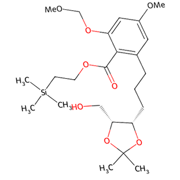 COCOc1cc(OC)cc(CCC[C@@H]2OC(C)(C)O[C@@H]2CO)c1C(=O)OCC[Si](C)(C)C